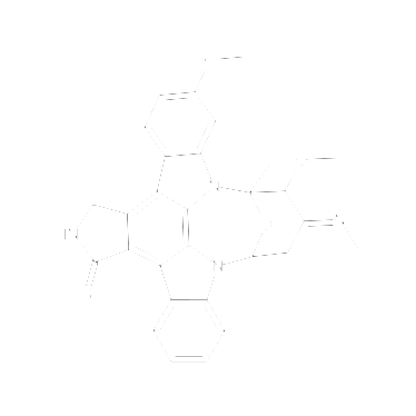 CN=C1CC2OC(C)(C1OC)n1c3cc(OC)ccc3c3c4c(c5c6ccccc6n2c5c31)C(=O)NC4